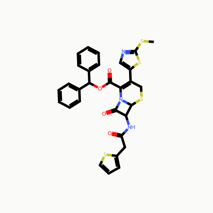 CSc1ncc(C2=C(C(=O)OC(c3ccccc3)c3ccccc3)N3C(=O)C(NC(=O)Cc4cccs4)C3SC2)s1